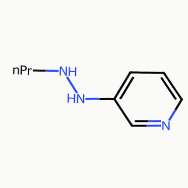 CCCNNc1cccnc1